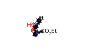 CCOC(=O)CCCn1cc(C(=O)c2ccc(NCc3ccc(CC)cc3)c(O)c2)c2ccccc21